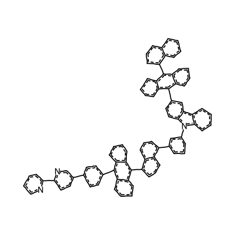 c1ccc(-c2ccc(-c3ccc(-c4c5ccccc5c(-c5cccc6c(-c7cccc(-n8c9ccccc9c9cc(-c%10c%11ccccc%11c(-c%11cccc%12ccccc%11%12)c%11ccccc%10%11)ccc98)c7)cccc56)c5ccccc45)cc3)cn2)nc1